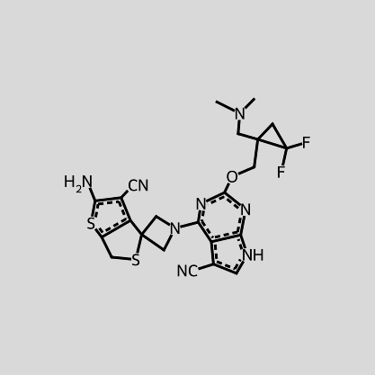 CN(C)CC1(COc2nc(N3CC4(C3)SCc3sc(N)c(C#N)c34)c3c(C#N)c[nH]c3n2)CC1(F)F